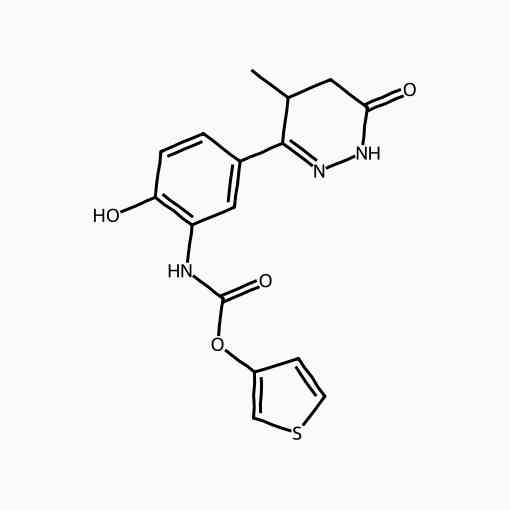 CC1CC(=O)NN=C1c1ccc(O)c(NC(=O)Oc2ccsc2)c1